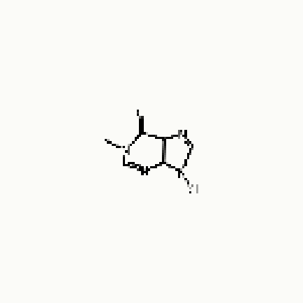 CN1C=NC2C(N=CN2Cl)C1=O